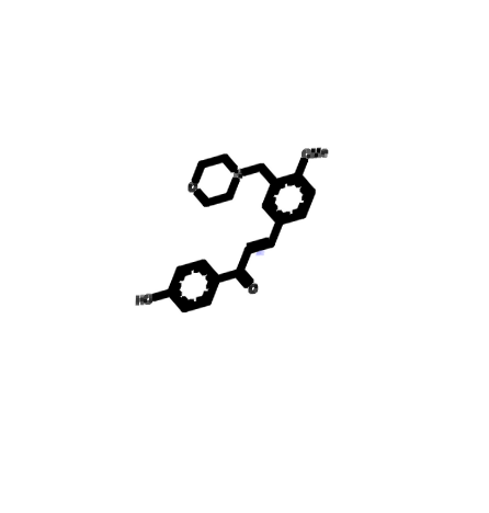 COc1ccc(/C=C/C(=O)c2ccc(O)cc2)cc1CN1CCOCC1